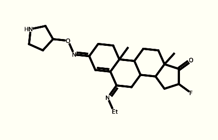 CCN=C1CC2C3CC(F)C(=O)C3(C)CCC2C2(C)CCC(=NOC3CCNC3)C=C12